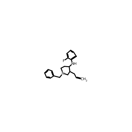 C=CCC1CN(Cc2ccccc2)CCC1Nc1ccccc1F